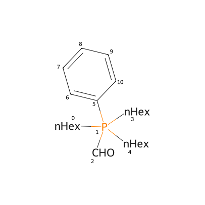 CCCCCCP(C=O)(CCCCCC)(CCCCCC)c1ccccc1